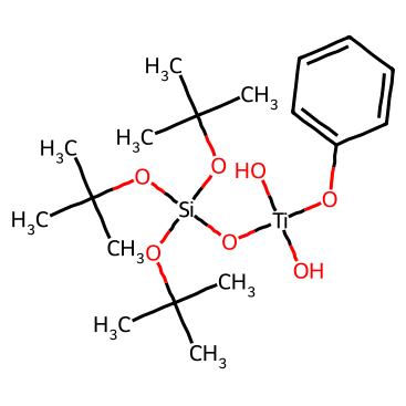 CC(C)(C)O[Si](OC(C)(C)C)(OC(C)(C)C)[O][Ti]([OH])([OH])[O]c1ccccc1